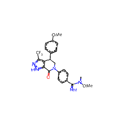 COc1ccc(C2CN(c3ccc(C(=N)N(C)OC)cc3)C(=O)c3[nH]nc(C(F)(F)F)c32)cc1